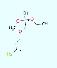 CCO[C@@](C)(COCCCS)OC